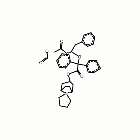 CC(=O)OC(Cc1ccccc1)OC(C(=O)OC1CC2CCC(C1)[N+]21CCCC1)(c1ccccc1)c1ccccc1.O=C[O-]